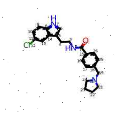 O=C(NCCc1c[nH]c2ccc(Cl)cc12)c1ccc(CN2CCCC2)cc1